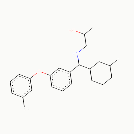 CC(C)c1cccc(Oc2cccc(C(NCC(O)C(F)(F)F)C3CCCC(C(F)(F)F)C3)c2)c1